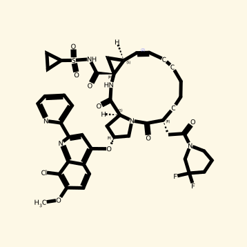 COc1ccc2c(O[C@@H]3C[C@H]4C(=O)N[C@]5(C(=O)NS(=O)(=O)C6CC6)C[C@H]5/C=C\CCCCC[C@H](CC(=O)N5CCCC(F)(F)C5)C(=O)N4C3)cc(-c3ccccn3)nc2c1Cl